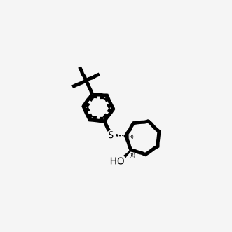 CC(C)(C)c1ccc(S[C@@H]2CCCCC[C@H]2O)cc1